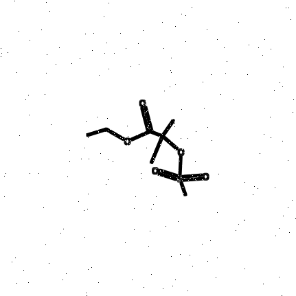 CCOC(=O)C(C)(C)OS(C)(=O)=O